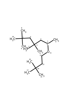 CP(CC(C)(P)CC(C)(C)C)OCCC(C)(C)C